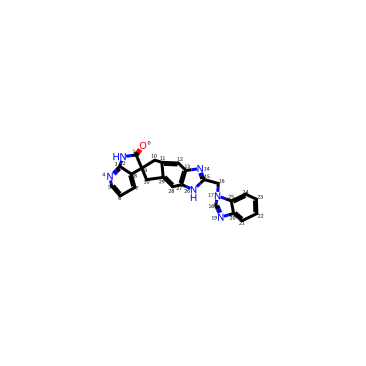 O=C1Nc2ncccc2C12Cc1cc3nc(Cn4cnc5ccccc54)[nH]c3cc1C2